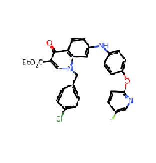 CCOC(=O)c1cn(Cc2ccc(Cl)cc2)c2cc(Nc3ccc(Oc4ccc(F)cn4)cc3)ccc2c1=O